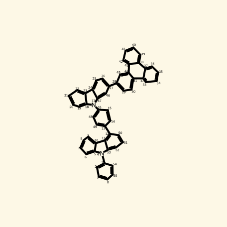 c1ccc(-n2c3ccccc3c3c(-c4ccc(-n5c6ccccc6c6ccc(-c7ccc8c9ccccc9c9ccccc9c8c7)cc65)cc4)cccc32)cc1